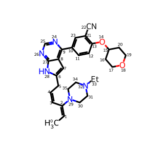 C/C=C(\C=C/Cc1cc2c(-c3ccc(OC4CCOCC4)c(C#N)c3)ncnc2[nH]1)N1CCN(CC)CC1